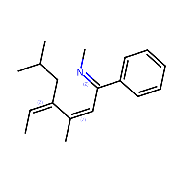 C\C=C(CC(C)C)/C(C)=C\C(=N\C)c1ccccc1